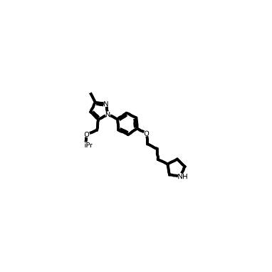 Cc1cc(COC(C)C)n(-c2ccc(OCCCC3CCNC3)cc2)n1